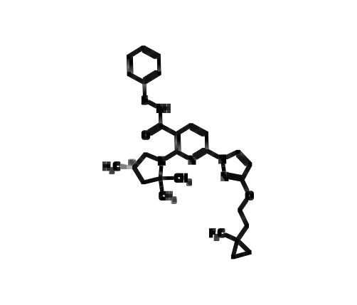 C[C@@H]1CN(c2nc(-n3ccc(OCCC4(C(F)(F)F)CC4)n3)ccc2C(=O)NSc2ccccc2)C(C)(C)C1